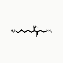 NCCCCCC(N)C(=O)CCN